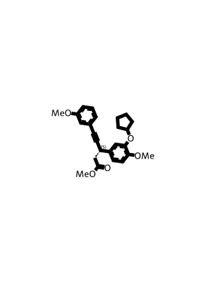 COC(=O)C[C@H](C#Cc1cccc(OC)c1)c1ccc(OC)c(OC2CCCC2)c1